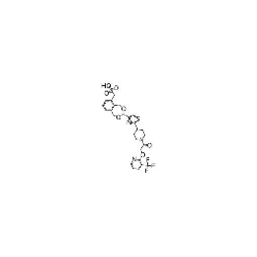 O=C(COc1ncccc1C(F)(F)F)N1CCC(c2nc(C3OCc4cccc(CS(=O)(=O)O)c4CO3)cs2)CC1